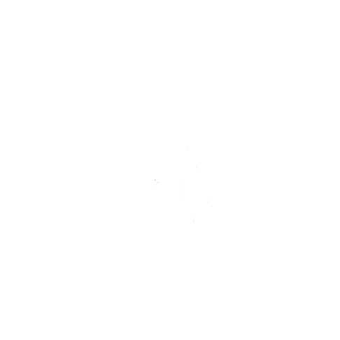 COC(=O)c1ccnc2cc(OC)ccc12